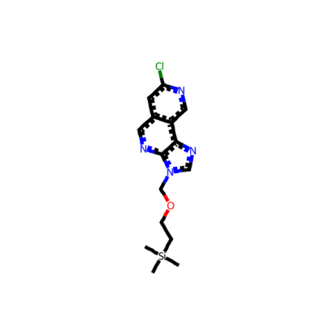 C[Si](C)(C)CCOCn1cnc2c3cnc(Cl)cc3cnc21